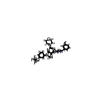 Cc1cccc(/C=N/Nc2nc(N3CCOCC3)nc3c2ncn3-c2cccc(OC(F)(F)F)c2)c1